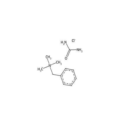 C[N+](C)(C)Cc1ccccc1.NC(N)=O.[Cl-]